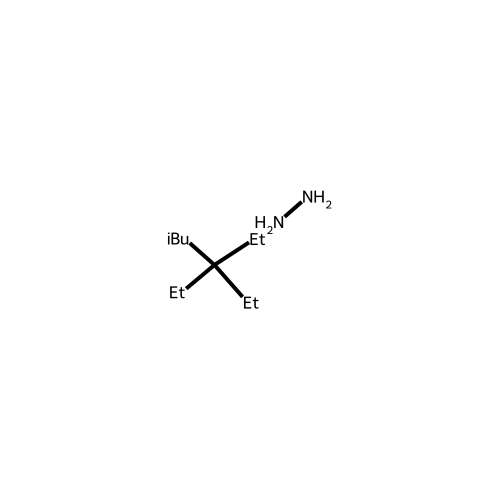 CCC(C)C(CC)(CC)CC.NN